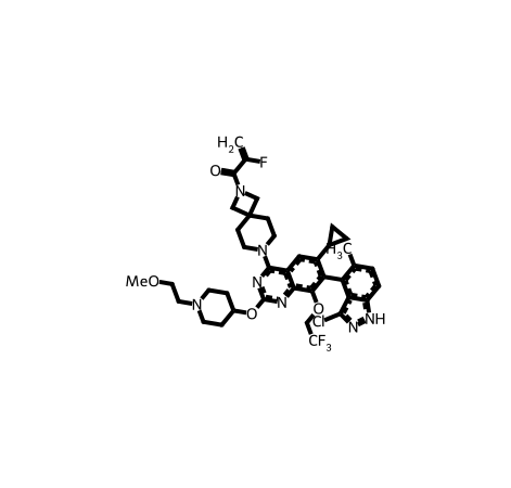 C=C(F)C(=O)N1CC2(CCN(c3nc(OC4CCN(CCOC)CC4)nc4c(OCC(F)(F)F)c(-c5c(C)ccc6[nH]nc(Cl)c56)c(C5CC5)cc34)CC2)C1